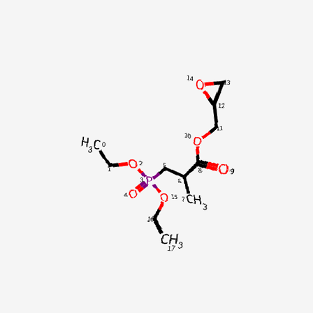 CCOP(=O)(CC(C)C(=O)OCC1CO1)OCC